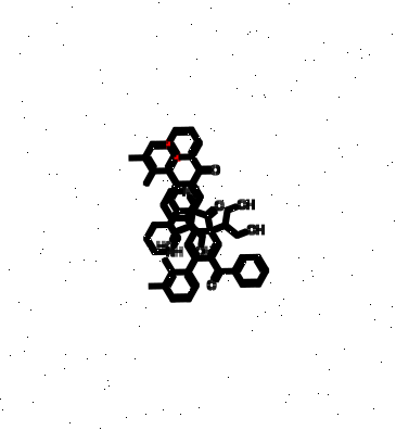 Cc1cccc(C2=CC(C3CCCNC3)C(C(=O)C3(C(CO)CO)C=C(C(=O)c4ccccc4)C(c4cccc(C)c4C)=CC3C3CCCNC3)(C(CO)CO)C=C2C(=O)c2ccccc2)c1C